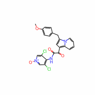 COc1ccc(Cc2cc(C(=O)C(=O)Nc3c(Cl)c[n+]([O-])cc3Cl)c3ccccn23)cc1